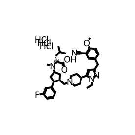 CCn1nc(Cc2ccc(OC)c(C#N)c2)cc1C1CCN(CC2CC(N(C)[C@H](CC(C)C)C(=O)O)CC2c2cccc(F)c2)CC1.Cl.Cl.Cl